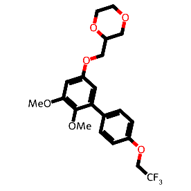 COc1cc(OCC2COCCO2)cc(-c2ccc(OCC(F)(F)F)cc2)c1OC